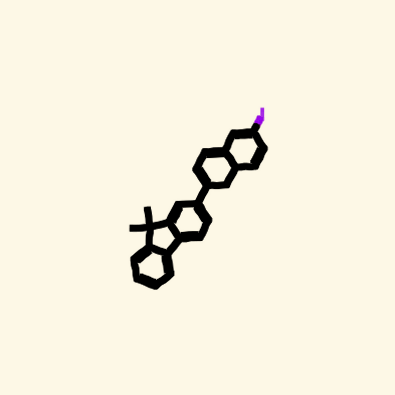 CC1(C)c2ccccc2-c2ccc(C3=CC=C4C=C(I)C=CC4C3)cc21